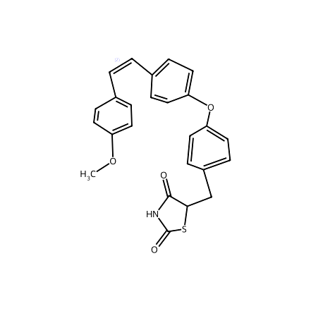 COc1ccc(/C=C\c2ccc(Oc3ccc(CC4SC(=O)NC4=O)cc3)cc2)cc1